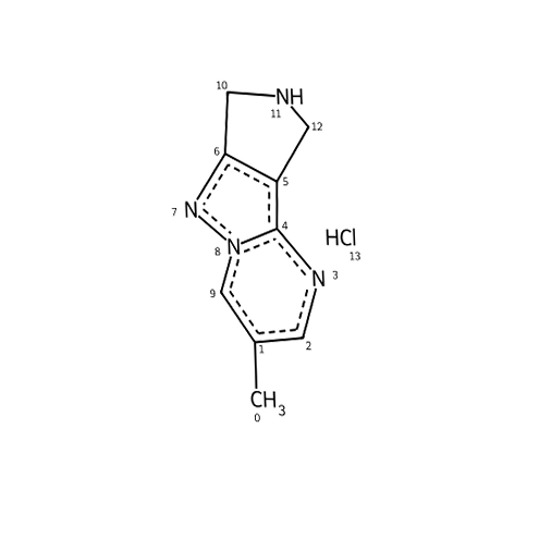 Cc1cnc2c3c(nn2c1)CNC3.Cl